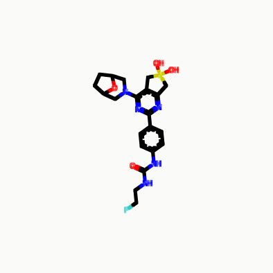 O=C(NCCF)Nc1ccc(-c2nc3c(c(N4CC5CCC(C4)O5)n2)CS(O)(O)C3)cc1